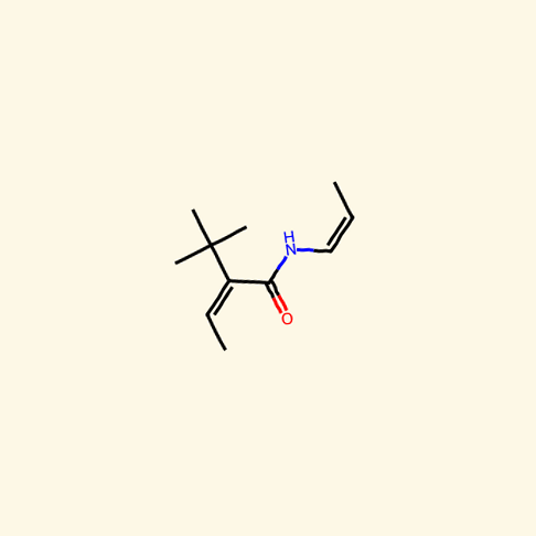 C/C=C\NC(=O)/C(=C\C)C(C)(C)C